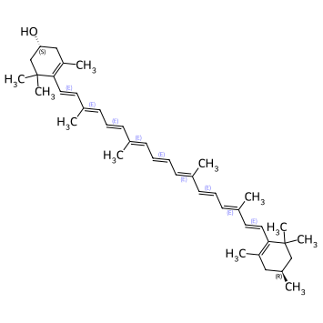 CC1=C(/C=C/C(C)=C/C=C/C(C)=C/C=C/C=C(C)/C=C/C=C(C)/C=C/C2=C(C)C[C@@H](O)CC2(C)C)C(C)(C)C[C@@H](C)C1